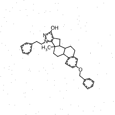 CC12CCC3c4ccc(OCc5ccccc5)cc4CCC3C1Cc1c(O)nn(CCc3ccccc3)c12